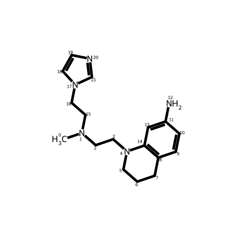 CN(CCN1CCCc2ccc(N)cc21)CCn1ccnc1